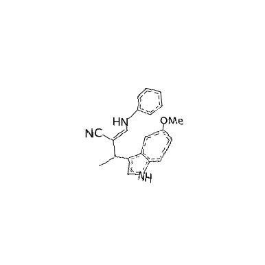 COc1ccc2[nH]cc(C(C)C(C#N)=CNc3ccccc3)c2c1